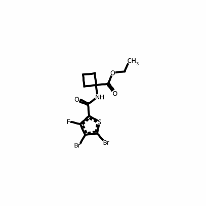 CCOC(=O)C1(NC(=O)c2sc(Br)c(Br)c2F)CCC1